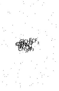 Cc1nc2c(N3C[C@@H](C)N(C(c4ccc(C(F)(F)F)c(F)c4)C4CC(F)(F)C4)C[C@@H]3C)nc(Cl)nc2n1C[C@@H]1CCCO1